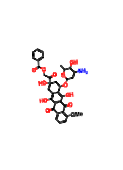 COc1cccc2c1C(=O)c1c(O)c3c(c(O)c1C2=O)CC(O)(C(=O)COC(=O)c1ccccc1)CC3OC1CC(N)C(O)C(C)O1